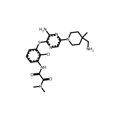 CN(C)C(=O)C(=O)Nc1cccc(Sc2ncc(N3CCC(C)(CN)CC3)nc2N)c1Cl